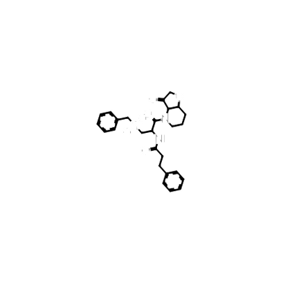 O=C(CCc1ccccc1)NC(CS(=O)(=O)Cc1ccccc1)C(=O)N1CCCC2OCC(=O)C21